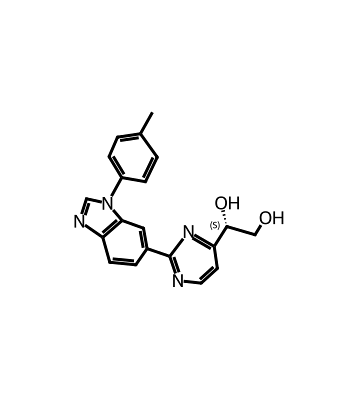 Cc1ccc(-n2cnc3ccc(-c4nccc([C@H](O)CO)n4)cc32)cc1